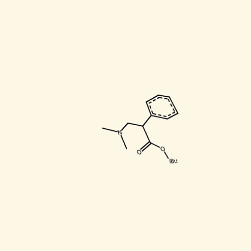 CCC(C)OC(=O)C(CN(C)C)c1ccccc1